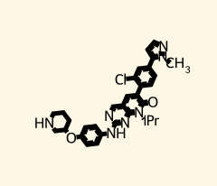 CC(C)n1c(=O)c(-c2ccc(-c3ccnn3C)cc2Cl)cc2cnc(Nc3ccc(OC4CCCNC4)cc3)nc21